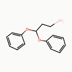 BCCC(Oc1ccccc1)Oc1ccccc1